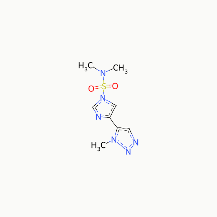 CN(C)S(=O)(=O)n1cnc(-c2cnnn2C)c1